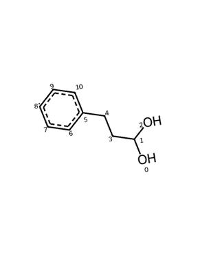 OC(O)CCc1cc[c]cc1